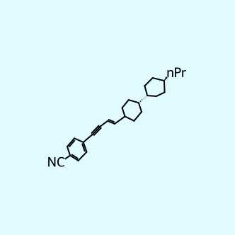 CCC[C@H]1CC[C@H](C2CCC(C=CC#Cc3ccc(C#N)cc3)CC2)CC1